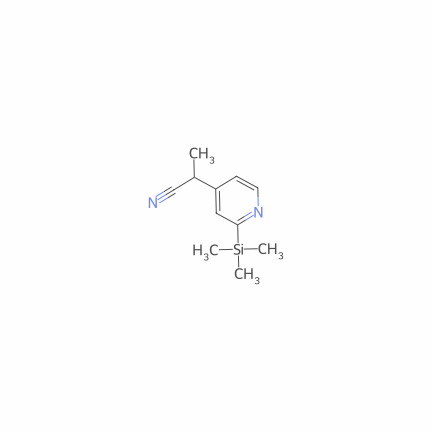 CC(C#N)c1ccnc([Si](C)(C)C)c1